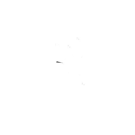 CN(C#N)C(=O)[C@H](CC1CCCCC1)OC(=O)NCC(F)(F)F